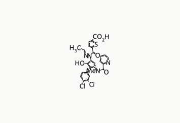 CC=NN(C(=O)c1ccc(C(=O)O)s1)c1csc(-c2ccc(Cl)c(Cl)c2)c1O.CNC(=O)c1ccccn1